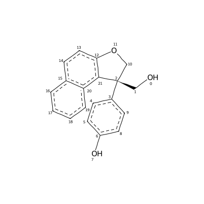 OC[C@]1(c2ccc(O)cc2)COc2ccc3ccccc3c21